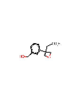 CCOC(=O)CC1(c2cccc(CO)c2)COC1